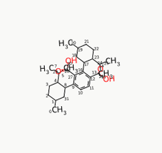 CC1CCC(C(C)C)C(c2ccc(C(=O)O)c(C3CC(C)CCC3C(C)C)c2C(=O)O)C1